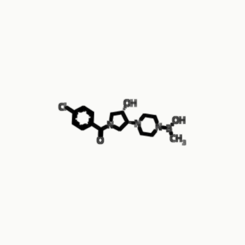 CB(O)N1CCN([C@H]2CN(C(=O)c3ccc(Cl)cc3)C[C@@H]2O)CC1